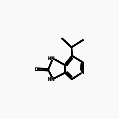 CC(C)c1cncc2[nH]c(=O)[nH]c12